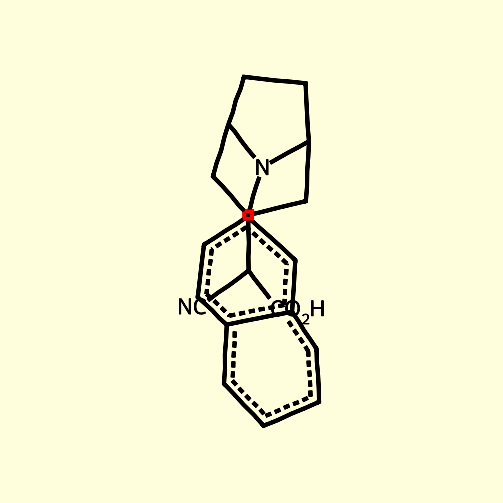 N#CC(C(=O)O)C1CC2CCC(C1)N2c1ccc2ccccc2c1